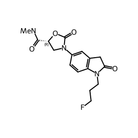 CNC(=O)[C@H]1CN(c2ccc3c(c2)CC(=O)N3CCCF)C(=O)O1